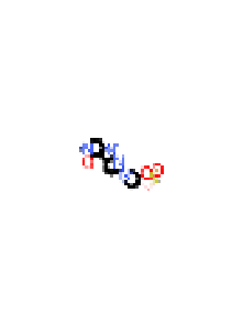 CN1CCc2c(c3ccc(N4CCC[C@H](OS(C)(=O)=O)C4)nc3n2C)C1=O